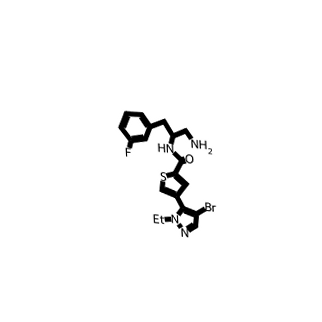 CCn1ncc(Br)c1-c1csc(C(=O)NC(CN)Cc2cccc(F)c2)c1